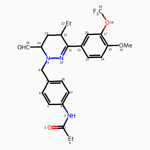 CCC(=O)Nc1ccc(CN2N=C(c3ccc(OC)c(OC(F)(F)F)c3)C(CC)CC2C=O)cc1